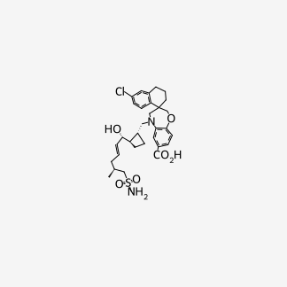 C[C@@H](C/C=C/[C@H](O)[C@@H]1CC[C@H]1CN1CC2(CCCc3cc(Cl)ccc32)COc2ccc(C(=O)O)cc21)CS(N)(=O)=O